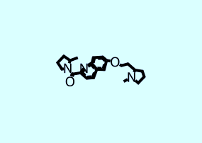 CC1CCCN1C(=O)c1ccc2cc(OCCC3CCCN3C)ccc2n1